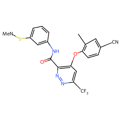 CNSc1cccc(NC(=O)c2nnc(C(F)(F)F)cc2Oc2ccc(C#N)cc2C)c1